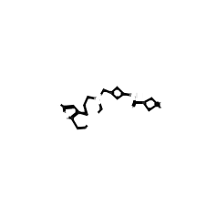 CCc1cc2c(s1)CCO[C@@]21CCN(CC2CC(NC(=O)C3CC(F)(F)C3)C2)[C@@H](C)C1